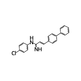 N=C(/C=C/c1ccc(-c2ccccc2)cc1)Nc1ccc(Cl)cc1